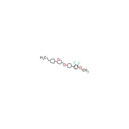 CCCC1CCC(C2CCC(COC3CCC(c4ccc(OCC)c(F)c4F)CC3)CO2)CC1